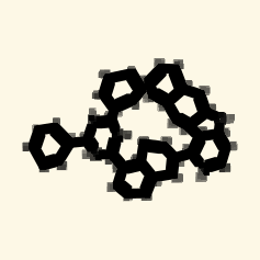 c1ccc(-c2nc(-c3ccccc3)nc(-c3cccc4cc(-c5nccc6oc7cc8ccccc8cc7c56)ccc34)n2)cc1